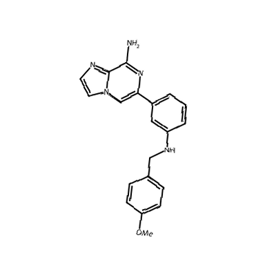 COc1ccc(CNc2cccc(-c3cn4ccnc4c(N)n3)c2)cc1